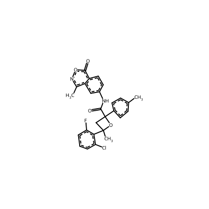 Cc1ccc(C2(C(=O)Nc3ccc4c(=O)onc(C)c4c3)CC(C)(c3c(F)cccc3Cl)O2)cc1